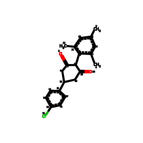 Cc1cc(C)c(C2C(=O)CC(c3ccc(Cl)cc3)CC2=O)c(C)c1